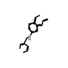 C=C/C=c1/cc(NCC(/C=C\C)=C/C)cc/c1=C/C